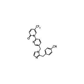 N#Cc1ccc(Cc2nccn2Cc2ccc(-n3cc(C(F)(F)F)ccc3=O)nc2)cc1